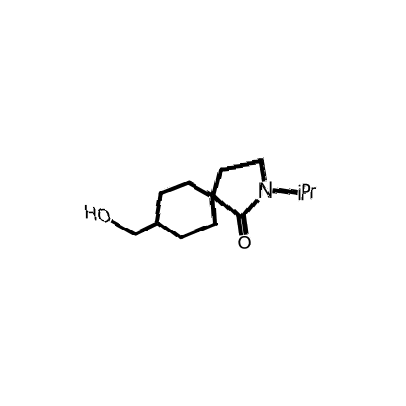 CC(C)N1CCC2(CCC(CO)CC2)C1=O